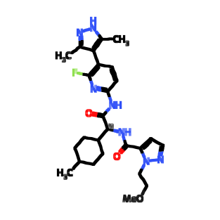 COCCn1nccc1C(=O)N[C@H](C(=O)Nc1ccc(-c2c(C)n[nH]c2C)c(F)n1)C1CCC(C)CC1